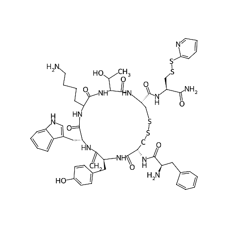 C=C1N[C@H](Cc2c[nH]c3ccccc23)C(=O)NC(CCCCN)C(=O)NC(C(C)O)C(=O)N[C@H](C(=O)N[C@@H](CSSc2ccccn2)C(N)=O)CSSC[C@H](NC(=O)[C@H](N)Cc2ccccc2)C(=O)N[C@H]1Cc1ccc(O)cc1